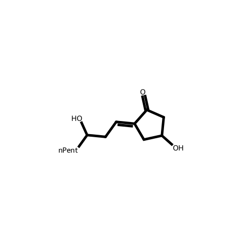 CCCCCC(O)C/C=C1\CC(O)CC1=O